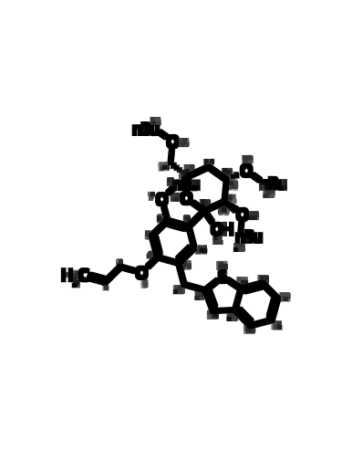 C=CCOc1cc(OCCCC)c(C2(O)O[C@H](COCCCC)C[C@H](OCCCC)[C@H]2OCCCC)cc1Cc1cc2ccccc2s1